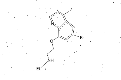 CCNCCOc1cc(Br)cc2c(C)ncnc12